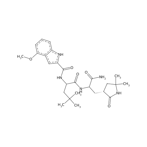 COc1cccc2[nH]c(C(=O)NC(CC(C)(C)C)C(=O)NC(C[C@@H]3CC(C)(C)NC3=O)C(N)=O)cc12